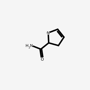 NC(=O)C1CC=C[N]1